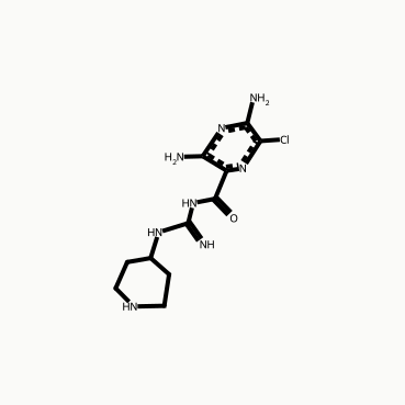 N=C(NC(=O)c1nc(Cl)c(N)nc1N)NC1CCNCC1